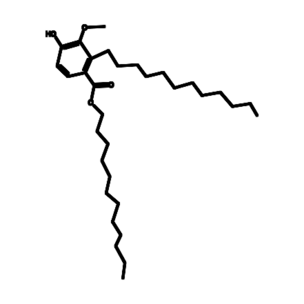 CCCCCCCCCCCCOC(=O)c1ccc(O)c(OC)c1CCCCCCCCCCCC